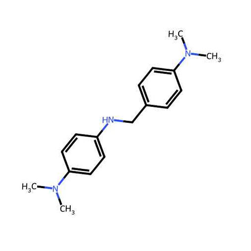 CN(C)c1ccc(CNc2ccc(N(C)C)cc2)cc1